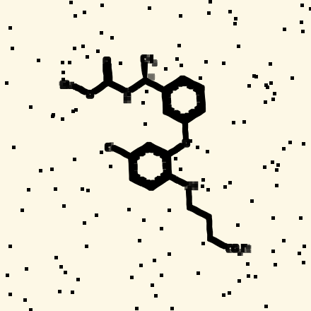 CCOC(=O)CCCNc1ccc(Cl)cc1Oc1cccc([C@H](C)NC(=O)OC(C)(C)C)c1